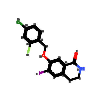 O=C1NCCc2cc(I)c(OCc3ccc(Cl)cc3F)cc21